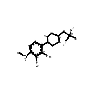 COc1ccc(C2CCC(CC(C)(F)F)CC2)c(F)c1F